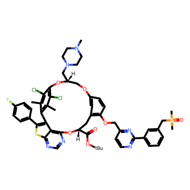 Cc1c(Cl)c2c(Cl)c(C)c1-c1c(-c3ccc(F)cc3)sc3ncnc(c13)O[C@@H](C(=O)OC(C)(C)C)Cc1cc(ccc1OCc1ccnc(-c3cccc(CP(C)(C)=O)c3)n1)OC[C@@H](CN1CCN(C)CC1)O2